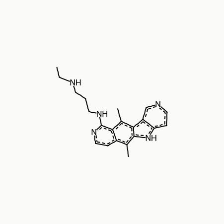 CCNCCCNc1nccc2c(C)c3[nH]c4ccncc4c3c(C)c12